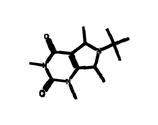 CC1c2c(n(C)c(=O)n(C)c2=O)C(C)N1C(C)(C)C